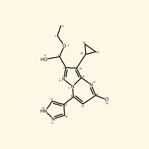 CCOC(O)c1nn2c(-c3cn[nH]c3)cc(Cl)nc2c1C1CC1